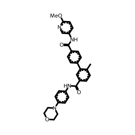 COc1ccc(NC(=O)c2ccc(-c3cc(C(=O)Nc4ccc(N5CCOCC5)cc4)ccc3C)cc2)cn1